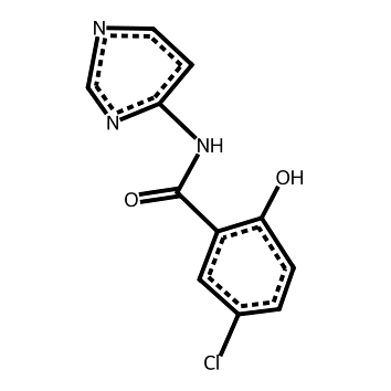 O=C(Nc1ccncn1)c1cc(Cl)ccc1O